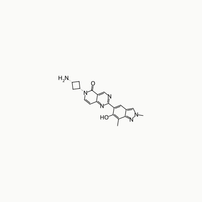 Cc1c(O)c(-c2ncc3c(=O)n([C@H]4C[C@@H](N)C4)ccc3n2)cc2cn(C)nc12